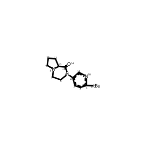 CC(C)(C)c1ccc(N2CCN3CCCC3C2=O)cn1